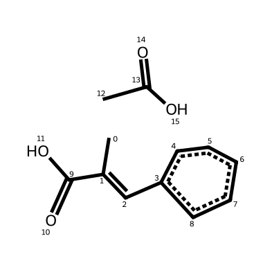 C/C(=C\c1ccccc1)C(=O)O.CC(=O)O